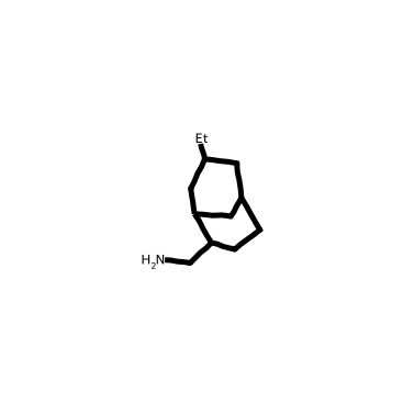 CCC1CC2CCC(CN)C(C1)C2